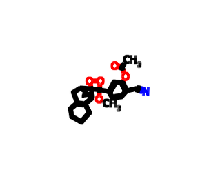 COC1(c2ccc(C#N)c(OC(C)=O)c2)OOC12C1CCCC2C2=C(CCCC2)C1